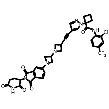 O=C1CCC(N2C(=O)c3ccc(N4CC(N5CC(C#Cc6cnn(C7(C(=O)Nc8ccc(C(F)(F)F)cc8Cl)CCC7)c6)C5)C4)cc3C2=O)C(=O)N1